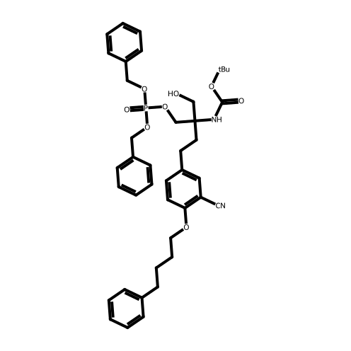 CC(C)(C)OC(=O)NC(CO)(CCc1ccc(OCCCCc2ccccc2)c(C#N)c1)COP(=O)(OCc1ccccc1)OCc1ccccc1